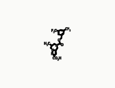 CC1CN(C(=O)OCc2cc(C(F)(F)F)cc(C(F)(F)F)c2)Cc2cc(C(=O)O)nn2C1